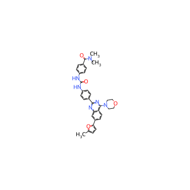 Cc1ccc(-c2ccc3c(N4CCOCC4)nc(-c4ccc(NC(=O)Nc5ccc(C(=O)N(C)C)cc5)cc4)nc3c2)o1